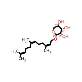 CC(C)=CCCC(C)=CCCC(C)=CCO[C@H]1OC[C@@H](O)[C@H](O)[C@H]1O